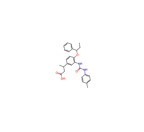 CCC(Oc1ccc(C(C)CC(=O)O)cc1NC(=O)Nc1ccc(C)cc1)c1ccccc1